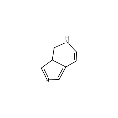 C1=CC2=CN=CC2CN1